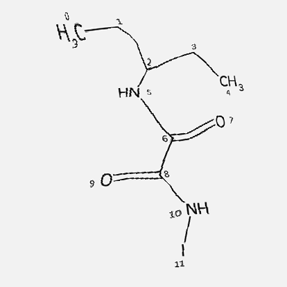 CCC(CC)NC(=O)C(=O)NI